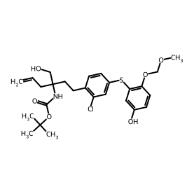 C=CCC(CO)(CCc1ccc(Sc2cc(O)ccc2OCOC)cc1Cl)NC(=O)OC(C)(C)C